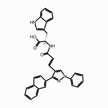 O=C(C=Cc1cn(-c2ccccc2)nc1-c1ccc2ccccc2c1)N[C@@H](Cc1c[nH]c2ccccc12)C(=O)O